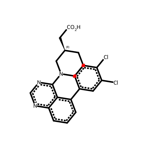 O=C(O)C[C@H]1CCCN(c2ncnc3cccc(-c4ccc(Cl)c(Cl)c4)c23)C1